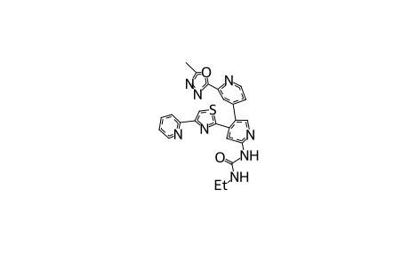 CCNC(=O)Nc1cc(-c2nc(-c3ccccn3)cs2)c(-c2ccnc(-c3nnc(C)o3)c2)cn1